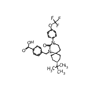 CC(C)(C)[C@H]1CC[C@@]2(CCN(c3ccc(OC(F)(F)F)cc3)C(=O)N2Cc2ccc(C(=O)O)cc2)CC1